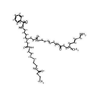 CCCC(=O)NCCSSCCNC(=O)CCN(CCCCNC(=O)c1ccccc1)CCC(=O)NCCSSCCNC(=O)CCN(C)CCCCN